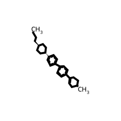 CCCC[C@H]1CC[C@H](c2ccc(-c3ccc(C4=CCC(C)CC4)cc3)cc2)CC1